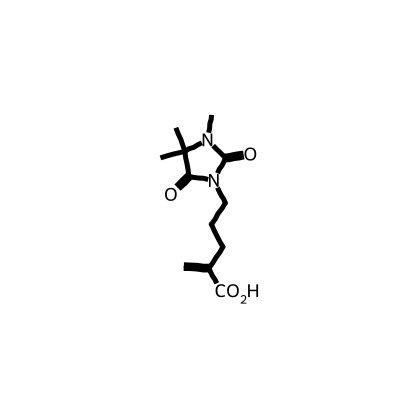 C=C(CCCN1C(=O)N(C)C(C)(C)C1=O)C(=O)O